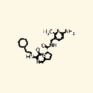 Cc1nc(N)ccc1CNC(=O)[C@@H]1CCc2cnc(NCCC3CCCCC3)c(=O)n21